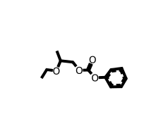 CCOC(C)COC(=O)Oc1ccccc1